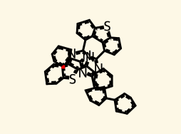 c1ccc(-c2cccc(-c3nc(-c4ccccc4)nc(-c4cccc5sc6cccc(-c7nc(-c8ccccc8)c8sc9ccccc9c8n7)c6c45)n3)c2)cc1